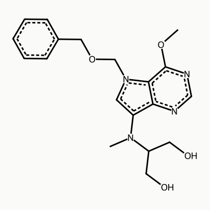 COc1ncnc2c(N(C)C(CO)CO)cn(COCc3ccccc3)c12